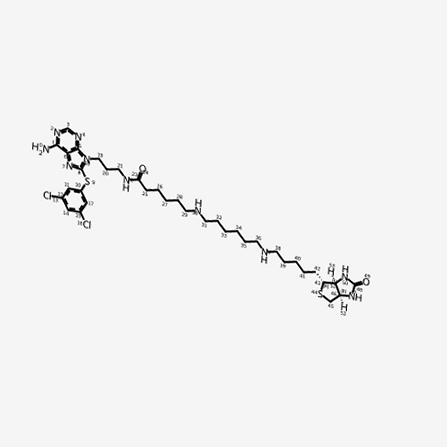 Nc1ncnc2c1nc(Sc1cc(Cl)cc(Cl)c1)n2CCCNC(=O)CCCCCNCCCCCCNCCCCC[C@H]1SC[C@@H]2NC(=O)N[C@@H]21